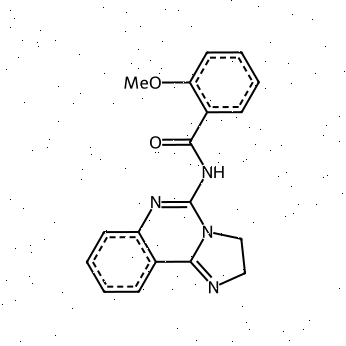 COc1ccccc1C(=O)NC1=Nc2ccccc2C2=NCCN12